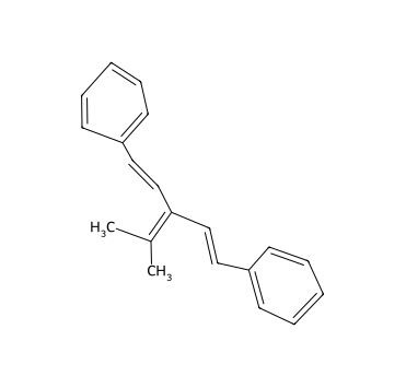 CC(C)=C(C=Cc1ccccc1)C=Cc1ccccc1